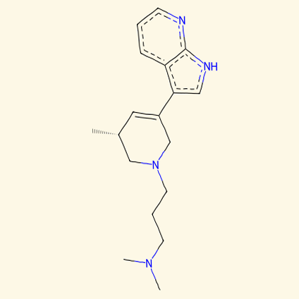 C[C@@H]1C=C(c2c[nH]c3ncccc23)CN(CCCN(C)C)C1